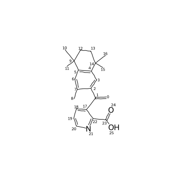 C=C(c1cc2c(cc1C)C(C)(C)CCC2(C)C)c1cccnc1C(=O)O